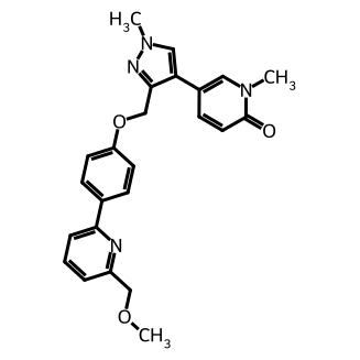 COCc1cccc(-c2ccc(OCc3nn(C)cc3-c3ccc(=O)n(C)c3)cc2)n1